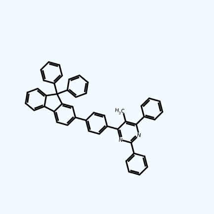 Cc1c(-c2ccccc2)nc(-c2ccccc2)nc1-c1ccc(-c2ccc3c(c2)C(c2ccccc2)(c2ccccc2)c2ccccc2-3)cc1